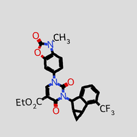 CCOC(=O)c1cn(-c2ccc3c(c2)oc(=O)n3C)c(=O)n(C2c3cccc(C(F)(F)F)c3C3CC32)c1=O